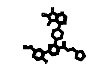 COc1cc(-c2ccc(NCCN3CCCC3)c(C3CCN(c4ncnc5c4C(C)C(=O)N5)CC3)n2)c(F)cn1